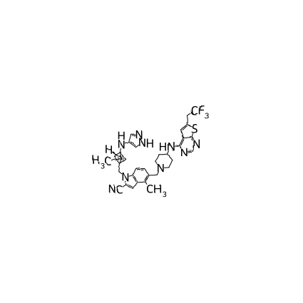 Cc1c(CN2CCC(Nc3ncnc4sc(CC(F)(F)F)cc34)CC2)ccc2c1cc(C#N)n2CC12CC(Nc3cn[nH]c3)(C1)[C@H]2C